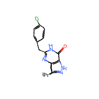 CC(C)c1n[nH]c2c(=O)[nH]c(Cc3ccc(Cl)cc3)nc12